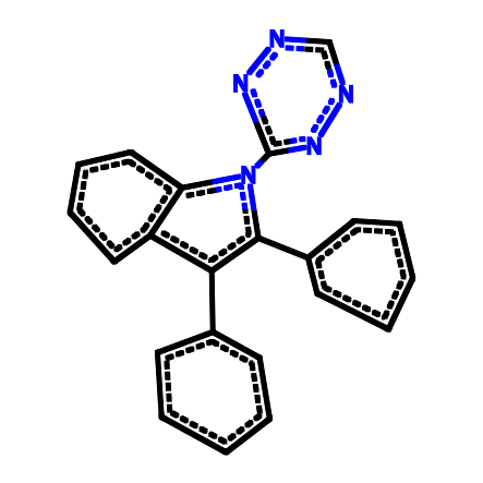 c1ccc(-c2c(-c3ccccc3)n(-c3nncnn3)c3ccccc23)cc1